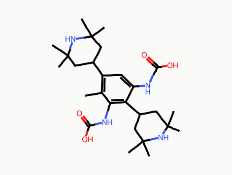 Cc1c(C2CC(C)(C)NC(C)(C)C2)cc(NC(=O)O)c(C2CC(C)(C)NC(C)(C)C2)c1NC(=O)O